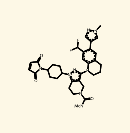 CNC(=O)N1CCc2c(c(N3CCCc4cc(-c5cnn(C)c5)c(C(F)F)cc43)nn2C2CCC(N3C(=O)C=CC3=O)CC2)C1